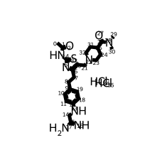 CC(=O)Nc1nc(CCc2ccc(NCC(=N)N)cc2)c(CN2CCC(C(=O)N(C)C)CC2)s1.Cl.Cl